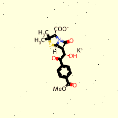 COC(=O)c1ccc(C(=O)[C@@H](O)[C@@H]2C(=O)N3[C@@H]2SC(C)(C)[C@@H]3C(=O)[O-])cc1.[K+]